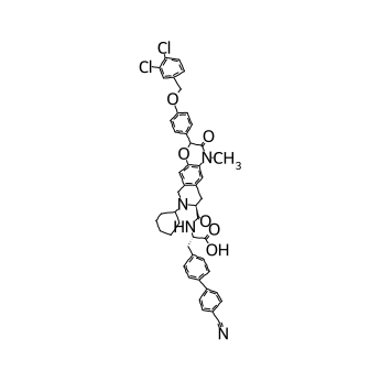 CN1C(=O)C(c2ccc(OCc3ccc(Cl)c(Cl)c3)cc2)Oc2cc3c(cc21)C[C@@H](C(=O)N[C@@H](Cc1ccc(-c2ccc(C#N)cc2)cc1)C(=O)O)N(C1CCCCC1)C3